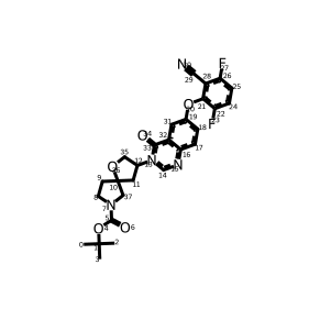 CC(C)(C)OC(=O)N1CCC2(CC(n3cnc4ccc(Oc5c(F)ccc(F)c5C#N)cc4c3=O)CO2)C1